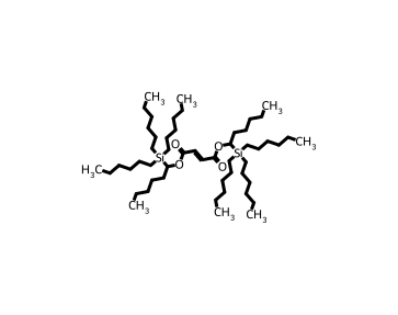 CCCCCC[Si](CCCCCC)(CCCCCC)C(CCCCC)OC(=O)/C=C/C(=O)OC(CCCCC)[Si](CCCCCC)(CCCCCC)CCCCCC